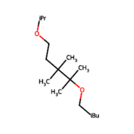 CCC(C)COC(C)(C)C(C)(C)CCOC(C)C